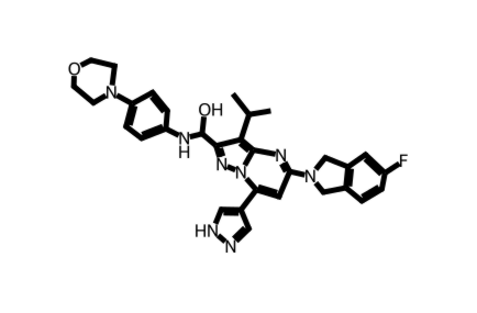 CC(C)c1c(C(O)Nc2ccc(N3CCOCC3)cc2)nn2c(-c3cn[nH]c3)cc(N3Cc4ccc(F)cc4C3)nc12